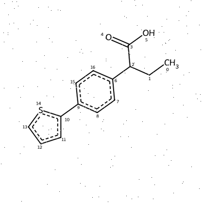 CCC(C(=O)O)c1ccc(-c2cccs2)cc1